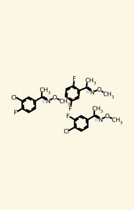 CO/N=C(\C)c1cc(F)ccc1F.CO/N=C(\C)c1ccc(Cl)c(F)c1.CO/N=C(\C)c1ccc(F)c(Cl)c1